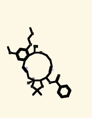 COCOc1cc(OC)cc2c1C(O)OCC/C=C\C(OC(=O)c1ccccc1)C1OC(C)(C)O[C@H]1C/C=C/2